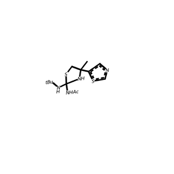 CC(=O)NC1(NC(C)(C)C)NC(C)(c2cncs2)CS1